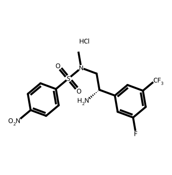 CN(C[C@@H](N)c1cc(F)cc(C(F)(F)F)c1)S(=O)(=O)c1ccc([N+](=O)[O-])cc1.Cl